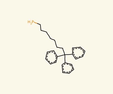 PCCCCCCCC(c1ccccc1)(c1ccccc1)c1ccccc1